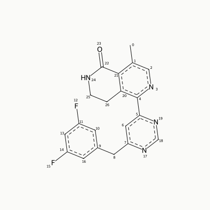 Cc1cnc(-c2cc(Cc3cc(F)cc(F)c3)ncn2)c2c1C(=O)NCC2